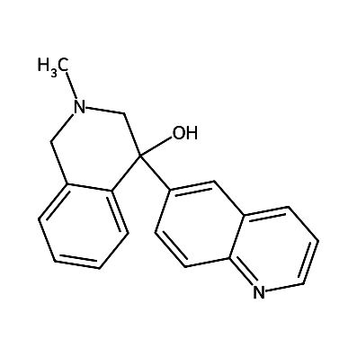 CN1Cc2ccccc2C(O)(c2ccc3ncccc3c2)C1